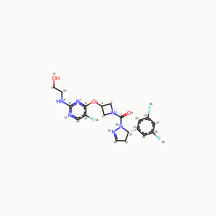 O=C(N1CC(Oc2nc(NCCO)ncc2F)C1)N1N=CC[C@H]1c1cc(F)cc(F)c1